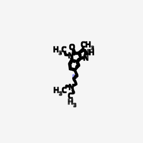 CCN(CC)C/C=C/c1ccc2c(c1)c1n[nH]c(C)c1c(=O)n2CC